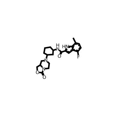 Cc1ccc(F)c2cc(C(=O)NC3CCCC(N4CCN5C(=O)OCC5C4)C3)[nH]c12